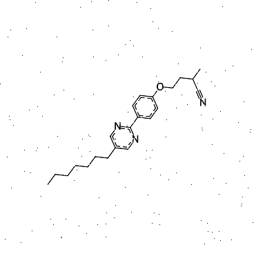 CCCCCCCc1cnc(-c2ccc(OCCC(C)C#N)cc2)nc1